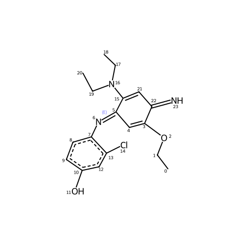 CCOC1=C/C(=N\c2ccc(O)cc2Cl)C(N(CC)CC)=CC1=N